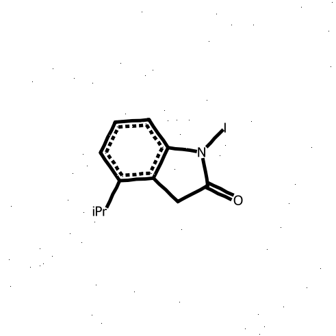 CC(C)c1cccc2c1CC(=O)N2I